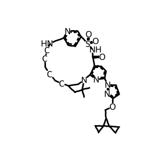 CC1(C)CC2CCCCCCNc3ccc(cn3)S(=O)(=O)NC(=O)c3ccc(-n4ccc(OCC5C6(CC6)C56CC6)n4)nc3N1C2